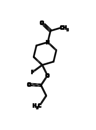 CCC(=O)OC1(F)CCN(C(C)=O)CC1